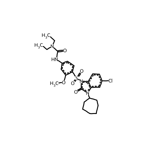 CCN(CC)C(=O)Nc1ccc(S(=O)(=O)n2c(=O)n(C3CCCCCC3)c3cc(Cl)ccc32)c(OC)c1